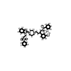 CN(CC(CCN1CCCN(c2nc3ccccc3n2CCS(=O)(=O)c2ccccc2)CC1)c1cccc(Cl)c1)C(=O)c1ccccc1